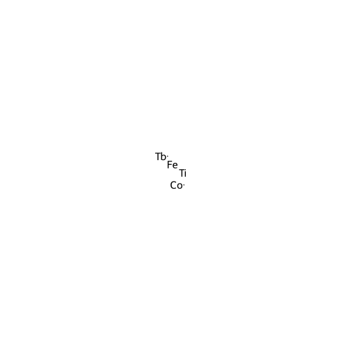 [Co].[Fe].[Tb].[Ti]